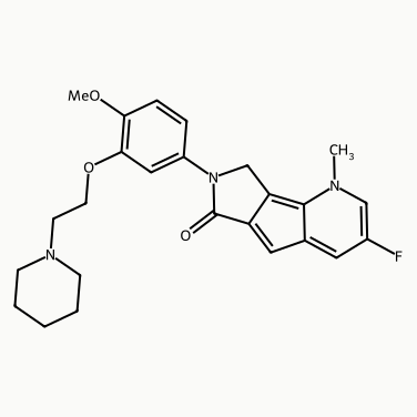 COc1ccc(N2Cc3c(cc4cc(F)cn(C)c3-4)C2=O)cc1OCCN1CCCCC1